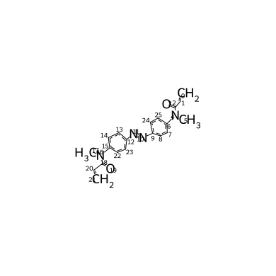 C=CC(=O)N(C)c1ccc(/N=N/c2ccc(N(C)C(=O)C=C)cc2)cc1